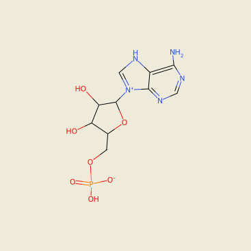 Nc1ncnc2c1[nH]c[n+]2C1OC(COP(=O)([O-])O)C(O)C1O